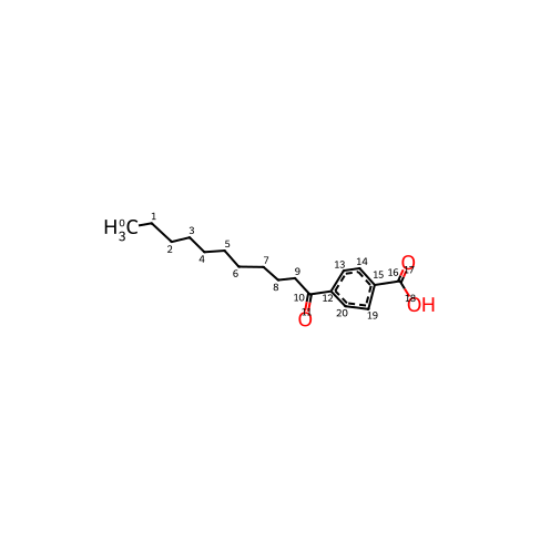 CCCCCCCCCCC(=O)c1ccc(C(=O)O)cc1